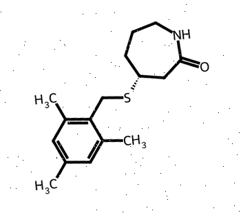 Cc1cc(C)c(CS[C@@H]2CCCNC(=O)C2)c(C)c1